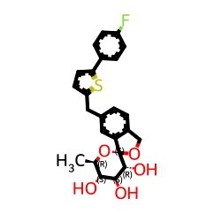 C[C@H]1O[C@]2(OCc3ccc(Cc4ccc(-c5ccc(F)cc5)s4)cc32)[C@H](O)[C@@H](O)[C@@H]1O